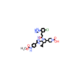 COC(=O)Nc1ccc(-c2c[nH]c(C3C(C4CC4)CC(C4CCN(C(=O)O)CC4)CN3C(=O)/C=C/c3cc(Cl)ccc3-n3cnnn3)n2)cc1